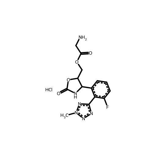 Cl.Cn1nnc(-c2c(F)cccc2C2NC(=O)OC2COC(=O)CN)n1